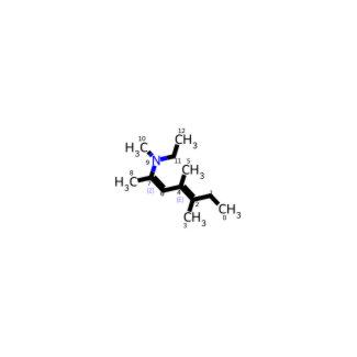 CC/C(C)=C(C)/C=C(/C)N(C)CC